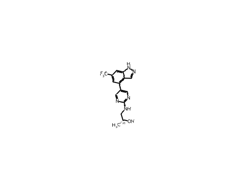 C[C@@H](O)CNc1ncc(-c2cc(C(F)(F)F)cc3[nH]ncc23)cn1